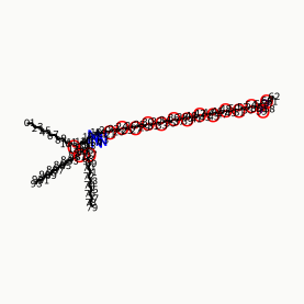 CCCCCCCCCCCCOc1cc(Cn2cc(COCCOCCOCCOCCOCCOCCOCCOCCOCCOCCOCCOCCP(C)(=O)OCC)nn2)cc(OCCCCCCCCCCCC)c1OCCCCCCCCCCCC